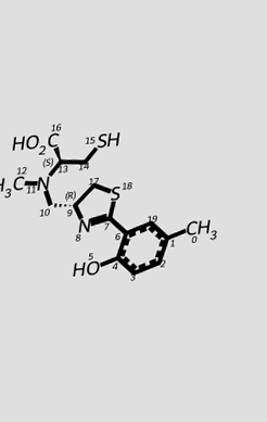 Cc1ccc(O)c(C2=N[C@H](CN(C)[C@H](CS)C(=O)O)CS2)c1